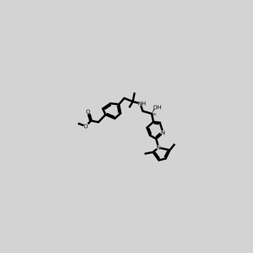 COC(=O)Cc1ccc(CC(C)(C)NC[C@H](O)c2ccc(-n3c(C)ccc3C)nc2)cc1